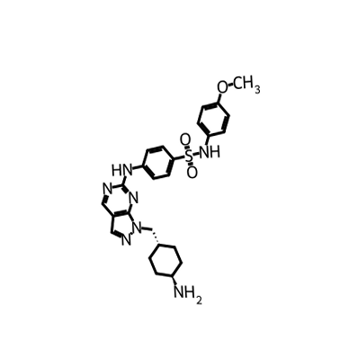 COc1ccc(NS(=O)(=O)c2ccc(Nc3ncc4cnn(C[C@H]5CC[C@H](N)CC5)c4n3)cc2)cc1